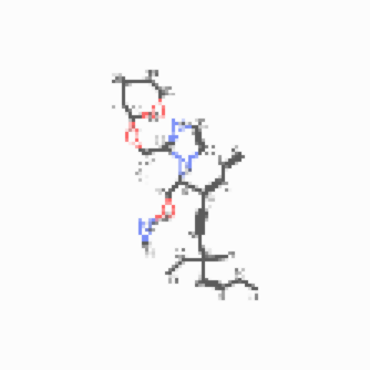 C=C/C=C(/C#CC(C)(/C=C\CC)CC)C(CON=C)n1ccnc1[C@H](C)OC1CCCCO1